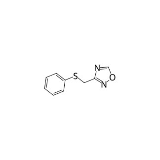 c1ccc(SCc2ncon2)cc1